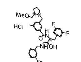 CCc1cccc(CNC[C@H](O)[C@H](Cc2cc(F)cc(F)c2)NC(=O)c2cc(C)cc(CN3CCC[C@@H]3COC)c2)c1.Cl